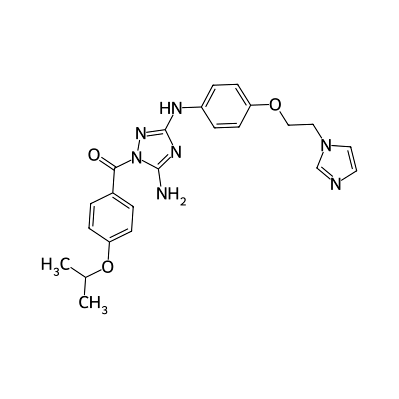 CC(C)Oc1ccc(C(=O)n2nc(Nc3ccc(OCCn4ccnc4)cc3)nc2N)cc1